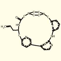 C=CCC1Cc2ccc(cn2)-c2ccnc(n2)Nc2cccc(c2)CN2CCN(CC2)CC(=O)N1